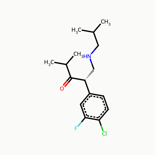 CC(C)CNC[C@@H](C(=O)C(C)C)c1ccc(Cl)c(F)c1